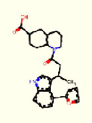 CC(CC(=O)N1CCCC2CC(C(=O)O)CCC21)c1c[nH]c2cccc(-c3ccco3)c12